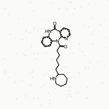 O=C1Nc2ccccc2N(C(=O)CCCCCC2CCCCCN2)c2ncccc21